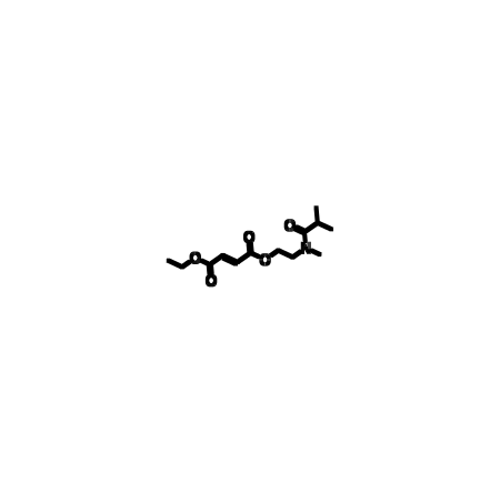 CCOC(=O)/C=C/C(=O)OCCN(C)C(=O)C(C)C